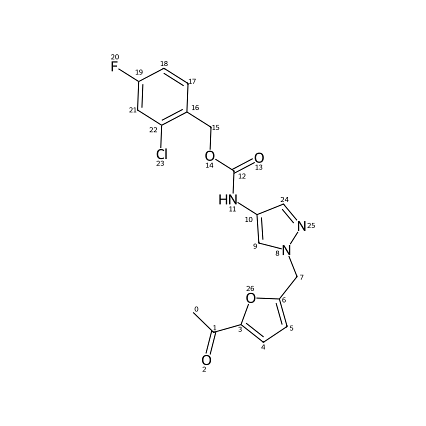 CC(=O)c1ccc(Cn2cc(NC(=O)OCc3ccc(F)cc3Cl)cn2)o1